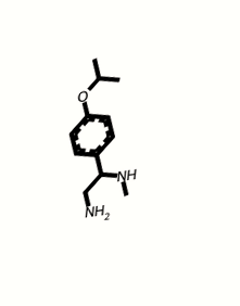 CNC(CN)c1ccc(OC(C)C)cc1